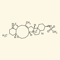 C/C1=C2\C[C@H]3C(CC[C@@H]4C[C@H](NS(C)(=O)=O)CCC43C)[C@@H]2CCCO[C@@H]2C[C@H](C)CNC2[C@@H](C)C1